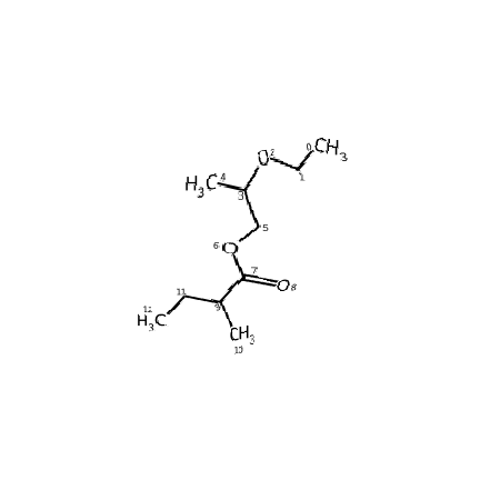 CCOC(C)COC(=O)C(C)CC